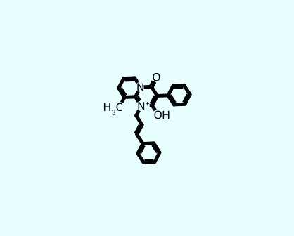 Cc1cccn2c(=O)c(-c3ccccc3)c(O)[n+](CC=Cc3ccccc3)c12